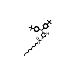 CCCCCCCCOC(=O)O[C@H]1CN[C@@H](C(c2ccc(C(C)(C)C)cc2)c2ccc(C(C)(C)C)cc2)C1